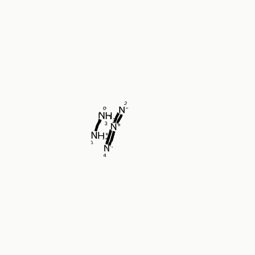 N[NH3+].[N-]=[N+]=[N-]